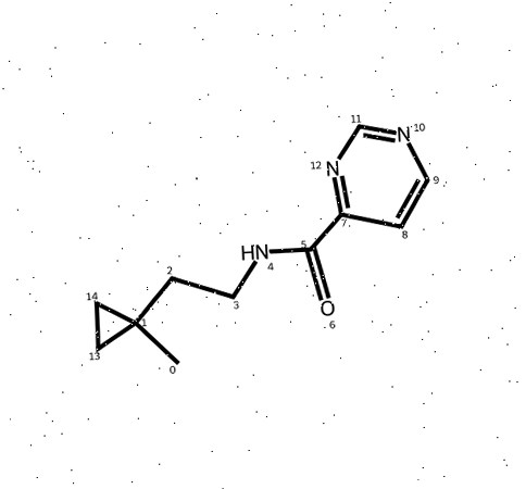 CC1(CCNC(=O)c2ccncn2)CC1